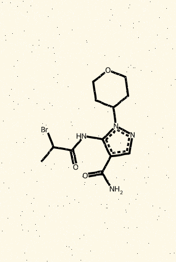 CC(Br)C(=O)Nc1c(C(N)=O)cnn1C1CCOCC1